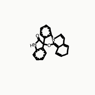 O=C1Nc2ccccc2C12OC1=C3C=CCC=C3C=CN1c1ccccc12